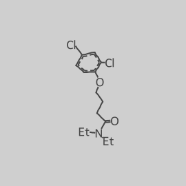 CCN(CC)C(=O)CCCOc1ccc(Cl)cc1Cl